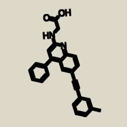 Cc1cccc(C#Cc2ccc3nc(NCC(=O)O)cc(-c4ccccc4)c3c2)c1